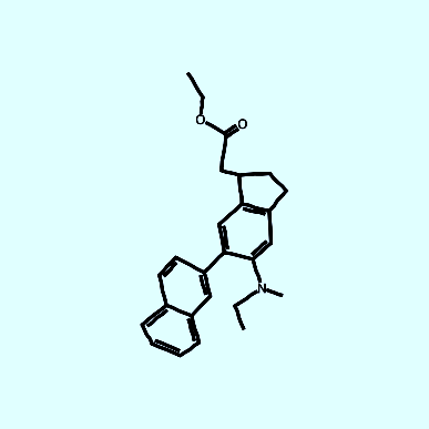 CCOC(=O)CC1CCc2cc(N(C)CC)c(-c3ccc4ccccc4c3)cc21